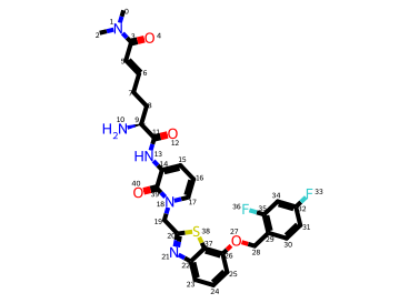 CN(C)C(=O)/C=C/CC[C@H](N)C(=O)Nc1cccn(Cc2nc3cccc(OCc4ccc(F)cc4F)c3s2)c1=O